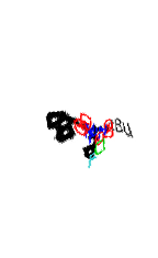 CC(C)(C)OC(=O)NCC1CN(C(=O)OCC2c3ccccc3-c3ccccc32)CC1C(=O)c1cccc(F)c1Cl